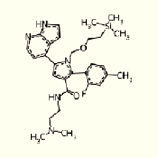 Cc1ccc(-c2c(C(=O)NCCN(C)C)cc(-c3ccnc4[nH]ccc34)n2COCC[Si](C)(C)C)c(F)c1